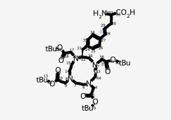 CC(C)(C)OC(=O)CN1CCN(CC(=O)OC(C)(C)C)CCN(CC(=O)OC(C)(C)C)[C@@H](Cc2ccc(/C=C/CC(N)C(=O)O)cc2)CN(CC(=O)OC(C)(C)C)CC1